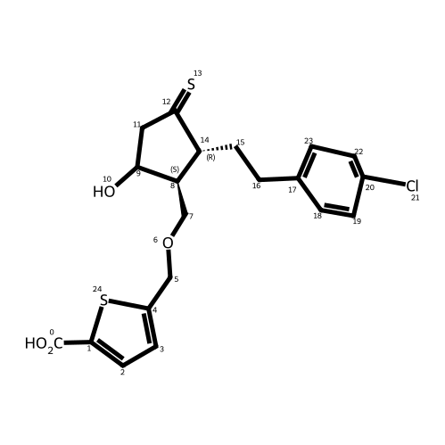 O=C(O)c1ccc(COC[C@H]2C(O)CC(=S)[C@@H]2CCc2ccc(Cl)cc2)s1